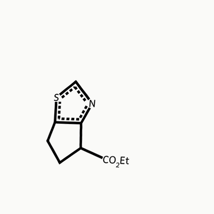 CCOC(=O)C1CCc2scnc21